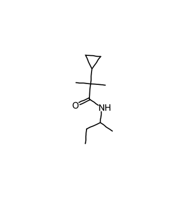 CCC(C)NC(=O)C(C)(C)C1CC1